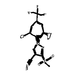 CS(=O)(=O)c1nn(-c2c(Cl)cc(C(F)(F)F)cc2Cl)cc1C#N